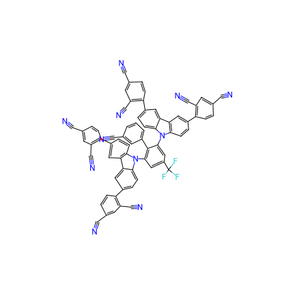 N#Cc1cccc(-c2c(-n3c4ccc(-c5ccc(C#N)cc5C#N)cc4c4cc(-c5ccc(C#N)cc5C#N)ccc43)cc(C(F)(F)F)cc2-n2c3ccc(-c4ccc(C#N)cc4C#N)cc3c3cc(-c4ccc(C#N)cc4C#N)ccc32)c1